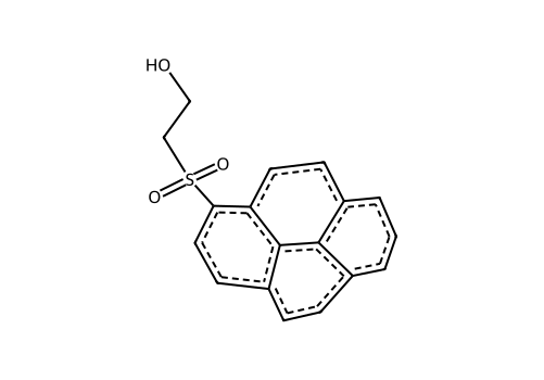 O=S(=O)(CCO)c1ccc2ccc3cccc4ccc1c2c34